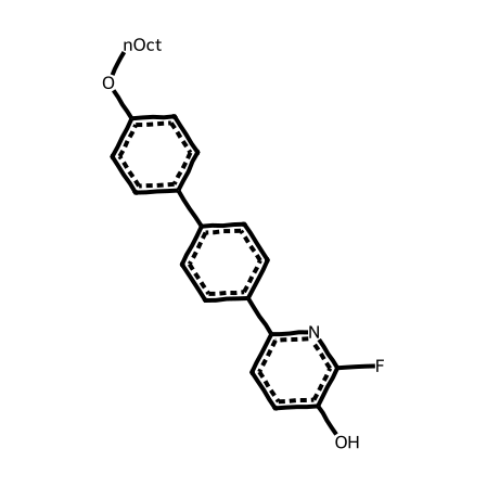 CCCCCCCCOc1ccc(-c2ccc(-c3ccc(O)c(F)n3)cc2)cc1